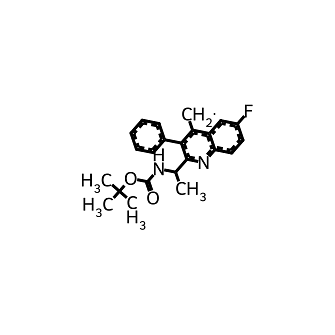 [CH2]c1c(-c2ccccc2)c(C(C)NC(=O)OC(C)(C)C)nc2ccc(F)cc12